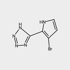 Brc1cc[nH]c1-c1nnn[nH]1